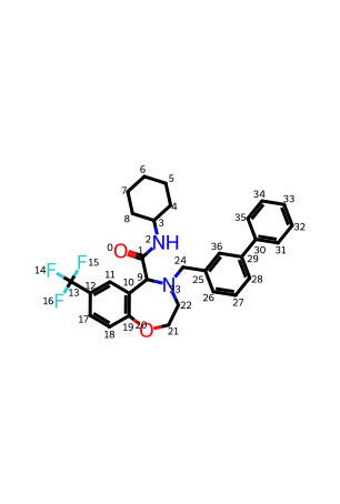 O=C(NC1CCCCC1)C1c2cc(C(F)(F)F)ccc2OCCN1Cc1cccc(-c2ccccc2)c1